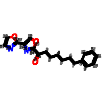 O=C(CCCCCCc1ccccc1)c1nc(-c2ncco2)co1